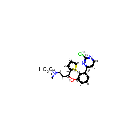 CN(CCC(Oc1cccc(-c2ccnc(Cl)n2)c1)c1cccs1)C(=O)O